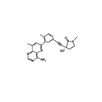 Cc1ccc(C#C[C@]2(O)CCN(C)C2=O)cc1-c1cc(C)c2ncnc(N)c2n1